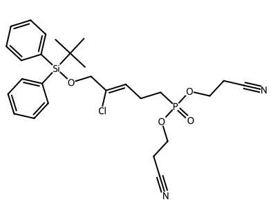 CC(C)(C)[Si](OC/C(Cl)=C/CCP(=O)(OCCC#N)OCCC#N)(c1ccccc1)c1ccccc1